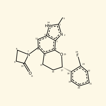 Cc1nc2c3c(c(N4CCC4=O)cc2[nH]1)CC[C@@H](c1ccccc1F)O3